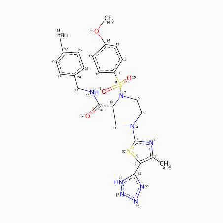 Cc1nc(N2CCN(S(=O)(=O)c3ccc(OC(F)(F)F)cc3)[C@@H](C(=O)NCc3ccc(C(C)(C)C)cc3)C2)sc1-c1nnn[nH]1